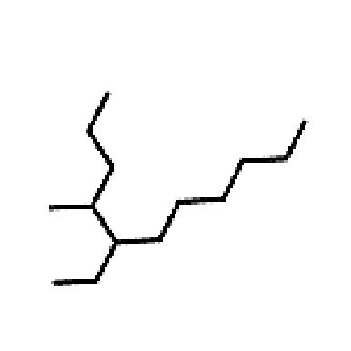 CCCCCCC(CC)C(C)CCC